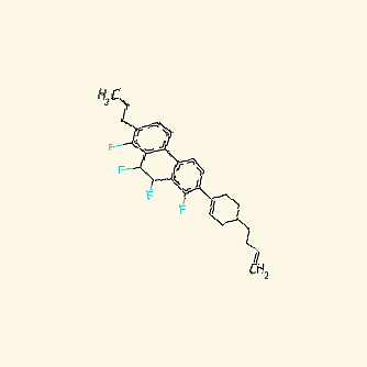 C=CCCC1CC=C(c2ccc3c(c2F)C(F)C(F)c2c-3ccc(CCC)c2F)CC1